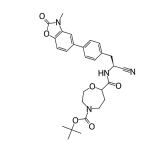 Cn1c(=O)oc2ccc(-c3ccc(C[C@@H](C#N)NC(=O)C4CCN(C(=O)OC(C)(C)C)CCO4)cc3)cc21